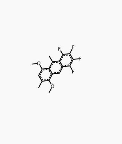 COc1c(C)cc(OC)c2c(C)c3c(F)c(F)c(F)c(F)c3cc12